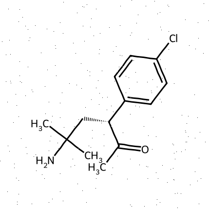 CC(=O)[C@H](CC(C)(C)N)c1ccc(Cl)cc1